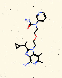 Cc1nc(N)c2nc(C(C)C3CC3)n(CCOCCN(C(N)=O)c3cccnc3)c2c1C